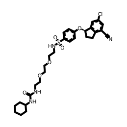 N#Cc1cc(Cl)cc2c1CC[C@H]2Oc1ccc(S(=O)(=O)NCCOCCOCCNC(=O)NC2CCCCC2)cc1